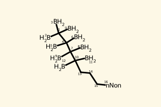 BC(B)(B)C(B)(B)C(B)(B)C(B)(B)CCCCCCCCCCCC